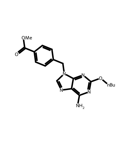 CCCCOc1nc(N)c2ncn(Cc3ccc(C(=O)OC)cc3)c2n1